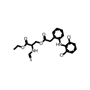 CCOC(=O)C(COC(=O)Cc1ccccc1Nc1c(Cl)cccc1Cl)NC=S